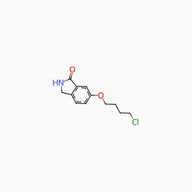 O=C1NCc2ccc(OCCCCCl)cc21